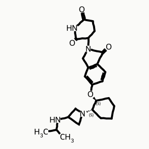 CC(C)NC1CN([C@H]2CCCC[C@@H]2Oc2ccc3c(c2)CN(C2CCC(=O)NC2=O)C3=O)C1